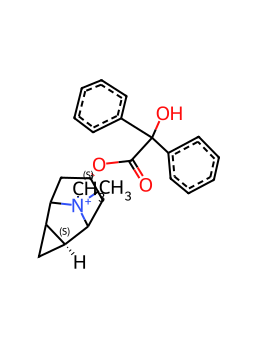 C[N+]1(C)C2C[C@H](OC(=O)C(O)(c3ccccc3)c3ccccc3)CC1[C@H]1CC21